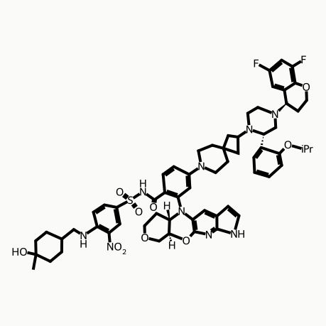 CC(C)Oc1ccccc1[C@H]1CN([C@@H]2CCOc3c(F)cc(F)cc32)CCN1C1CC2(CCN(c3ccc(C(=O)NS(=O)(=O)c4ccc(NCC5CCC(C)(O)CC5)c([N+](=O)[O-])c4)c(N4c5cc6cc[nH]c6nc5O[C@H]5COCC[C@@H]54)c3)CC2)C1